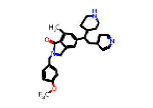 Cc1cc(C(Cc2ccncc2)C2CCNCC2)cc2c1C(=O)N(Cc1ccc(OC(F)(F)F)cc1)C2